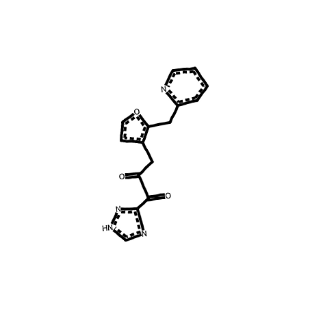 O=C(Cc1ccoc1Cc1ccccn1)C(=O)c1nc[nH]n1